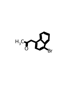 CC(=O)Cc1ccc(Br)c2ccccc12